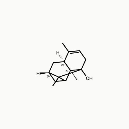 CC1=CCC2(O)C(C)(C)[C@@H]3CC[C@@]2(C)[C@H]1C3